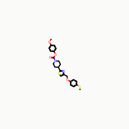 COc1ccc(OC(=O)N2CCC(c3nc(COc4ccc(SC)cc4)cs3)CC2)cc1